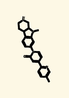 Cc1ccc(-c2ccn(-c3ccc4c(c3)N(C)C3CNCCC43)c(=O)c2)nc1